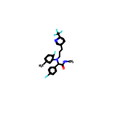 CNC(=O)C(c1ccc(F)cc1)N(CCCc1ccc(C(F)(F)F)nc1)c1cc(C)ccc1F